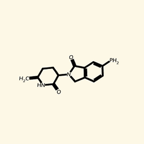 C=C1CCC(N2Cc3ccc(P)cc3C2=O)C(=O)N1